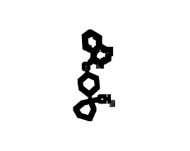 CC1([C@H]2CC[C@@H](Oc3ncnc4ccccc34)CC2)CCCCC1